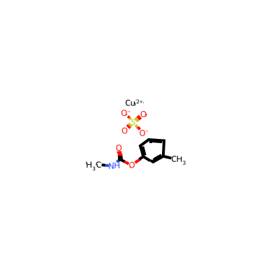 CNC(=O)Oc1cccc(C)c1.O=S(=O)([O-])[O-].[Cu+2]